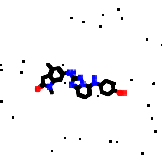 Cc1cc(Nc2nc3cccc(NC4CCC(O)CC4)n3n2)cc2c1CC(=O)N2C